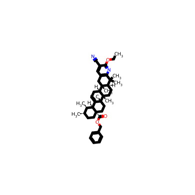 CCOc1nc2c(cc1C#N)C[C@]1(C)[C@H](CC[C@@]3(C)[C@H]1CC=C1[C@@H]4[C@@H](C)[C@@H](C)CC[C@]4(C(=O)OCc4ccccc4)CC[C@]13C)C2(C)C